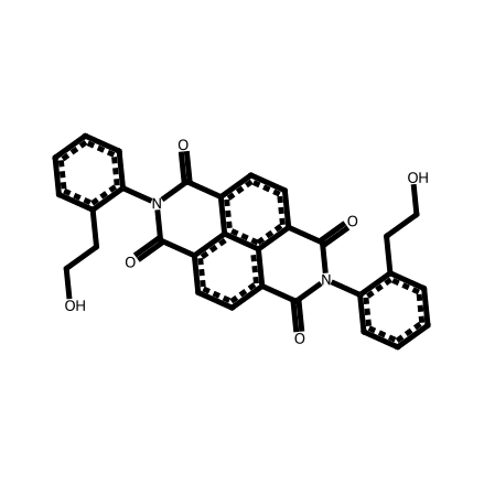 O=C1c2ccc3c4c(ccc(c24)C(=O)N1c1ccccc1CCO)C(=O)N(c1ccccc1CCO)C3=O